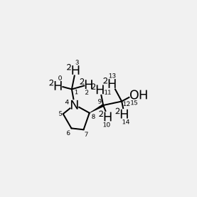 [2H]C([2H])([2H])N1CCC[C@@H]1C([2H])([2H])C([2H])([2H])O